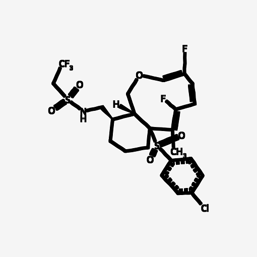 C\C1=C(F)/C=C\C(F)=C\OC[C@H]2[C@H](CNS(=O)(=O)CC(F)(F)F)CCCC12S(=O)(=O)c1ccc(Cl)cc1